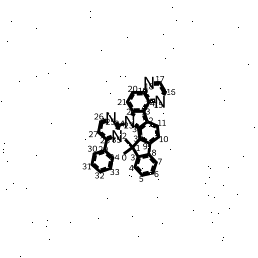 CC1(C)c2ccccc2-c2ccc3c4c5nccnc5ccc4n(-c4nccc(-c5ccccc5)n4)c3c21